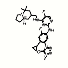 Cn1nnn(-c2cc(Nc3ncc(F)c(NCC4C[C@H]5CCCN5C(C)(C)C4)n3)c(F)cc2C2CC2)c1=O